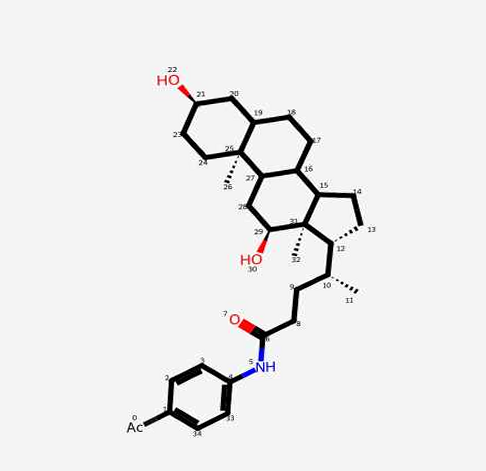 CC(=O)c1ccc(NC(=O)CC[C@@H](C)[C@H]2CCC3C4CCC5C[C@H](O)CC[C@]5(C)C4C[C@H](O)[C@@]32C)cc1